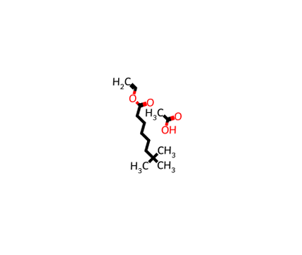 C=COC(=O)CCCCCC(C)(C)C.CC(=O)O